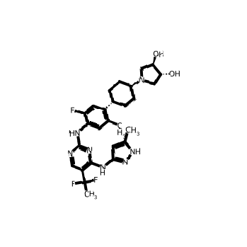 Cc1cc(Nc2nc(Nc3cc(C)c([C@H]4CC[C@H](N5C[C@@H](O)[C@H](O)C5)CC4)cc3F)ncc2C(C)(F)F)n[nH]1